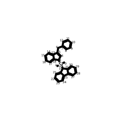 C[Si](C)(C1C=C(Cc2ccccc2)c2ccccc21)C1c2ccccc2-c2ccccc21